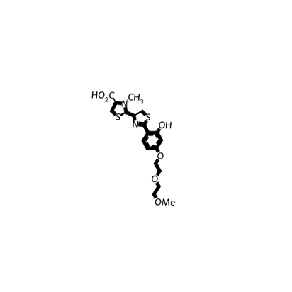 COCCOCCOc1ccc(C2=N[C@@H]([C@H]3SC[C@H](C(=O)O)N3C)CS2)c(O)c1